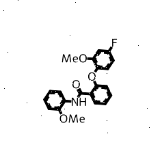 COc1ccccc1NC(=O)c1ccccc1Oc1ccc(F)cc1OC